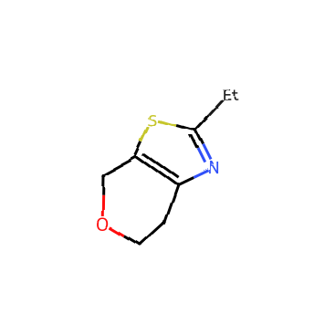 CCc1nc2c(s1)COCC2